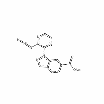 COC(=O)c1ccc2cnn(-c3nccnc3N=[N+]=[N-])c2c1